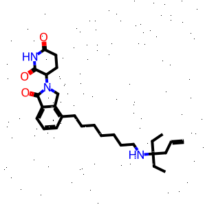 C=CCC(CC)(CC)NCCCCCCCc1cccc2c1CN(C1CCC(=O)NC1=O)C2=O